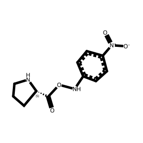 O=C(ONc1ccc([N+](=O)[O-])cc1)[C@@H]1CCCN1